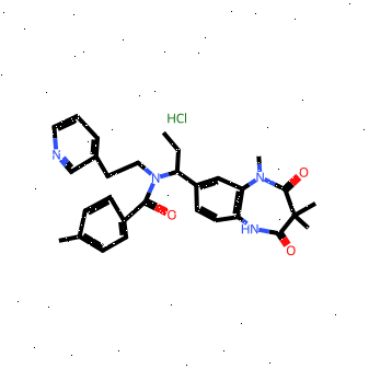 CCC(c1ccc2c(c1)N(C)C(=O)C(C)(C)C(=O)N2)N(CCc1cccnc1)C(=O)c1ccc(C)cc1.Cl